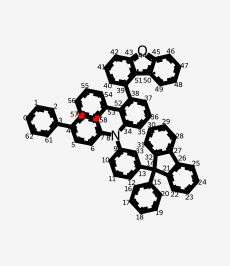 c1ccc(-c2ccc(N(c3cccc(C4(c5ccccc5)c5ccccc5-c5ccccc54)c3)c3cccc(-c4cccc5oc6ccccc6c45)c3-c3ccccc3)cc2)cc1